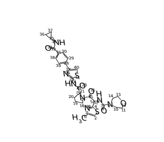 Cc1csc([C@@H](NC(=O)N2CCOCC2)C(=O)N2CCC[C@H]2C(=O)Nc2nc(-c3ccc(C(=O)NC4CC4)cc3)cs2)n1